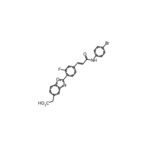 O=C(O)Cc1ccc2oc(-c3ccc(C=CC(=O)Nc4ccc(Br)cc4)cc3F)nc2c1